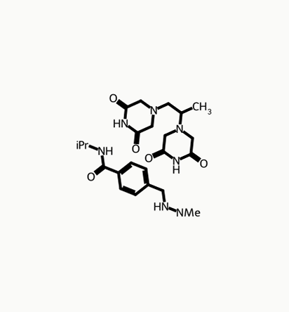 CC(CN1CC(=O)NC(=O)C1)N1CC(=O)NC(=O)C1.CNNCc1ccc(C(=O)NC(C)C)cc1